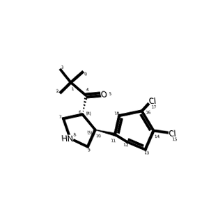 CC(C)(C)C(=O)[C@H]1CNC[C@@H]1c1ccc(Cl)c(Cl)c1